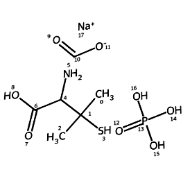 CC(C)(S)C(N)C(=O)O.O=C[O-].O=P(O)(O)O.[Na+]